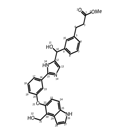 COC(=O)CCc1cccc(C(O)c2cnc(-c3cccc(Oc4ccc5[nH]ccc5c4CO)c3)[nH]2)c1